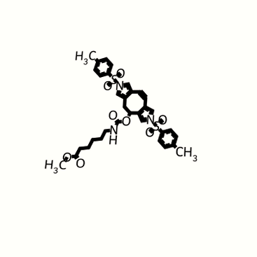 COC(=O)CCCCCNC(=O)OC1Cc2cn(S(=O)(=O)c3ccc(C)cc3)cc2C#Cc2cn(S(=O)(=O)c3ccc(C)cc3)cc21